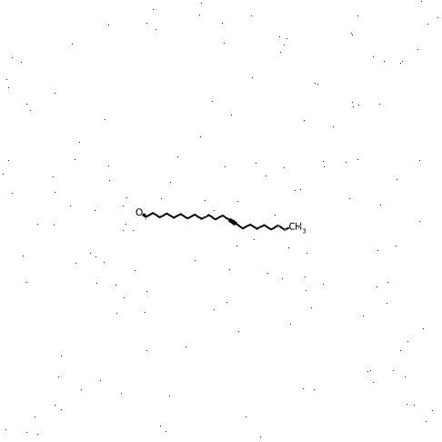 CCCCCCCCC#CCCCCCCCCCCC[C]=O